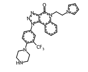 O=c1c2nnn(-c3ccc(N4CCNCC4)c(C(F)(F)F)c3)c2c2ccccc2n1CCn1cccc1